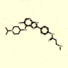 CNCCC(=O)Nc1ccc(-c2nc3c(NC4CCN(C(C)C)CC4)c(Cl)cnc3[nH]2)cc1